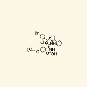 CC[C@@H](c1ccccc1)[C@H](NC(=O)[C@H](NC(=O)O)c1ccc(OCCOC(C)(C)C)cc1)C(=O)Nc1ccc(Br)cc1Cl